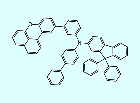 c1ccc(-c2ccc(N(c3cccc(-c4ccc5c(c4)-c4cccc6cccc(c46)O5)c3)c3ccc4c(c3)C(c3ccccc3)(c3ccccc3)c3ccccc3-4)cc2)cc1